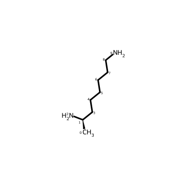 C[C@@H](N)CCCCCCN